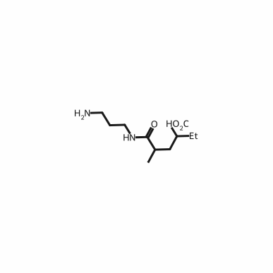 CCC(CC(C)C(=O)NCCCN)C(=O)O